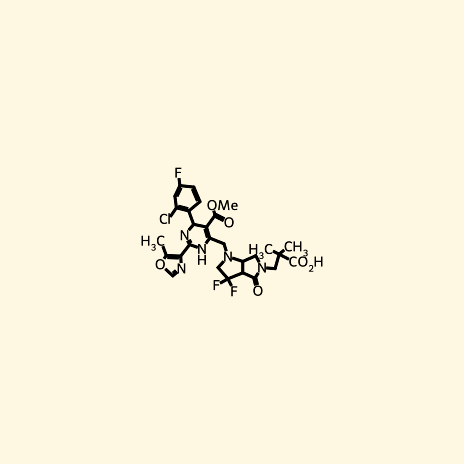 COC(=O)C1=C(CN2CC(F)(F)C3C(=O)N(CC(C)(C)C(=O)O)CC32)NC(c2ncoc2C)=NC1c1ccc(F)cc1Cl